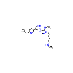 C=Nc1c(N/C=C(\C=N)c2ccc(CC3CCC3)nc2)cnn1/C=C\CCCCNC